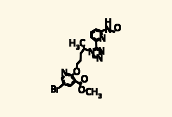 COC(=O)c1cc(Br)cnc1OCCCC(C)n1cnnc1-c1cccc(NC=O)n1